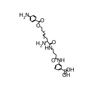 Nc1ccc(C(=O)OCCSSCC(N)C(=O)NCCCC(=O)Nc2cccc(B(O)O)c2)cc1